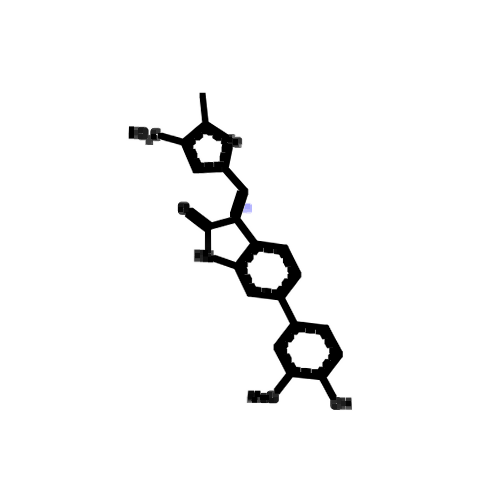 COc1cc(-c2ccc3c(c2)NC(=O)/C3=C\c2cc(C(=O)O)c(C)[se]2)ccc1O